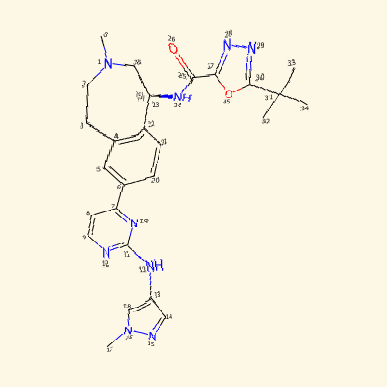 CN1CCc2cc(-c3ccnc(Nc4cnn(C)c4)n3)ccc2[C@H](NC(=O)c2nnc(C(C)(C)C)o2)C1